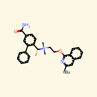 CCCCc1cc2ccccc2c(OCC[N+](C)(C)[C@H](C)c2ccc(C(N)=O)cc2-c2ccccc2)n1